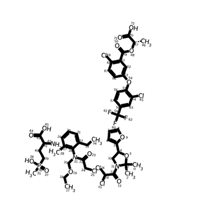 CC1(C)OC(c2ccco2)CN1C(=O)C(Cl)Cl.CCOCN(C(=O)CCl)c1c(C)cccc1CC.CP(=O)(O)CCC(N)C(=O)O.C[C@H](OC(=O)c1cc(Oc2ccc(C(F)(F)F)cc2Cl)ccc1Cl)C(=O)O